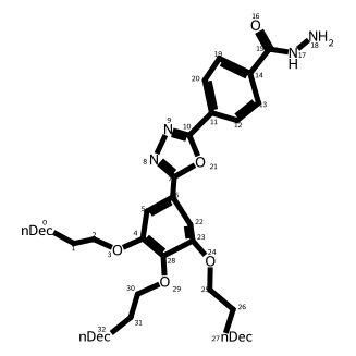 CCCCCCCCCCCCOc1cc(-c2nnc(-c3ccc(C(=O)NN)cc3)o2)cc(OCCCCCCCCCCCC)c1OCCCCCCCCCCCC